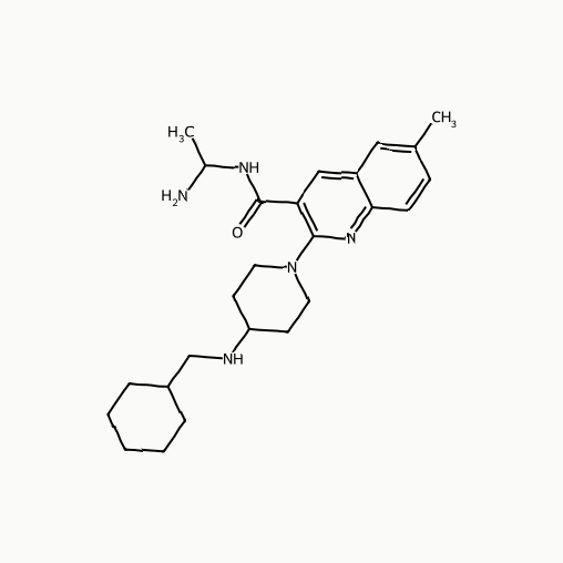 Cc1ccc2nc(N3CCC(NCC4CCCCC4)CC3)c(C(=O)NC(C)N)cc2c1